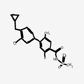 Cc1cc(C(=O)NS(C)(=O)=O)c(F)cc1-c1ccc(CC2CC2)c(Cl)c1